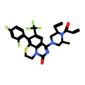 C=CC(=O)N1C(C)CN(c2nc(=O)n3c4c(c(-c5ccc(F)cc5F)c(C(F)(F)F)cc24)SCC3)CC1C=C